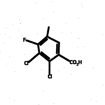 Cc1cc(C(=O)O)c(Cl)c(Cl)c1F